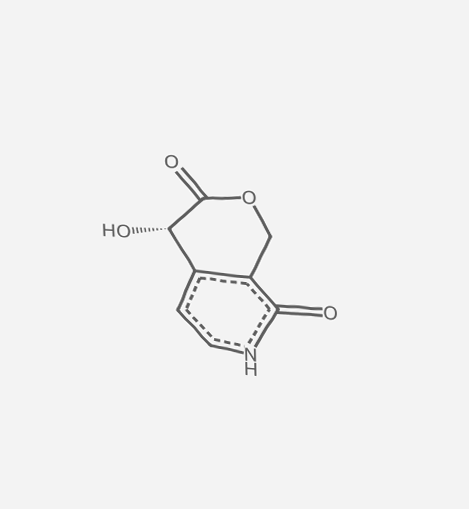 O=C1OCc2c(cc[nH]c2=O)[C@@H]1O